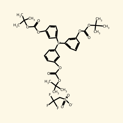 CC(C)(C)OC(=O)Oc1cccc([S+](c2cccc(OC(=O)OC(C)(C)C)c2)c2cccc(OC(=O)OC(C)(C)C)c2)c1.O=S(=O)([O-])CC(F)(F)F